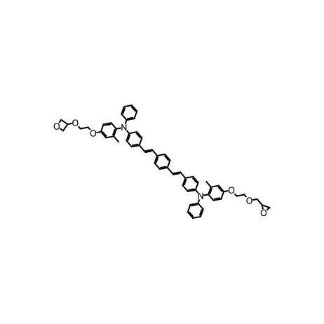 Cc1cc(OCCOCC2CO2)ccc1N(c1ccccc1)c1ccc(/C=C/c2ccc(/C=C/c3ccc(N(c4ccccc4)c4ccc(OCCOC5COC5)cc4C)cc3)cc2)cc1